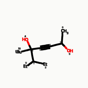 CCC(CC)C(O)(C#CC(C)O)C(C)(C)C